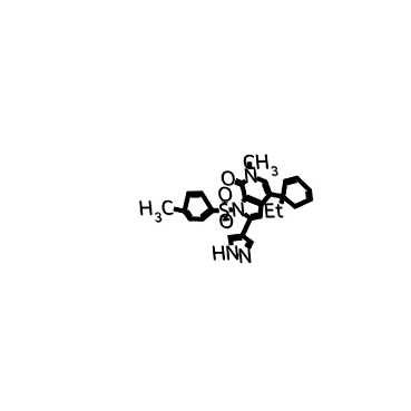 CCC1(c2cn(C)c(=O)c3c2cc(-c2cn[nH]c2)n3S(=O)(=O)c2ccc(C)cc2)C=CC=CC1